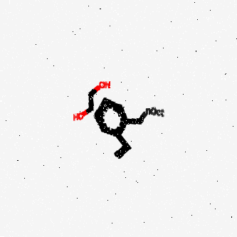 C=Cc1ccccc1CCCCCCCCC.OCCO